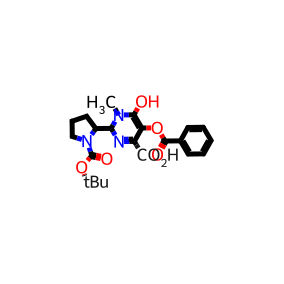 CN1C(O)=C(OC(=O)c2ccccc2)C(C(=O)O)=NC1C1CCCN1C(=O)OC(C)(C)C